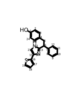 Oc1ccc(CC(c2ccccc2)c2nc(-c3cccs3)c[nH]2)cc1